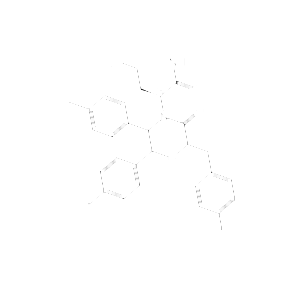 CCC[C@@H](C(N)=O)N1C(=O)C(Cc2ccc(F)cc2)OC(c2ccc(Cl)cc2)C1c1ccc(Cl)cc1